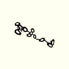 C(=C\c1ccc(-c2c3ccccc3c(-c3ccc4c5ccccc5n(-c5ccccc5)c4c3)c3ccccc23)cc1)/c1ccc(-c2cccc3ccccc23)cc1